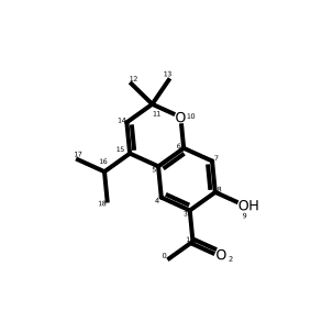 CC(=O)c1cc2c(cc1O)OC(C)(C)C=C2C(C)C